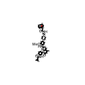 COc1cc(N2CCN(CCNC(=O)CC34CC5CC(CC(C5)C3)C4)CC2)ccc1Nc1ncc2c(C)cc(=O)n(-c3cccc(NC(=O)C4CC4)c3)c2n1